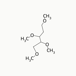 COCCC(OC)C(COC)OC